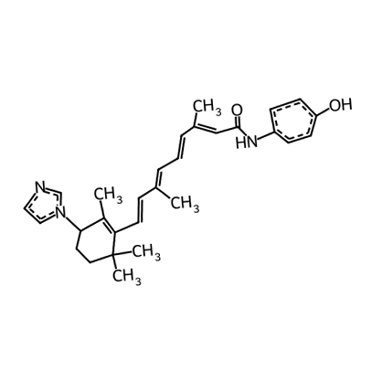 CC(C=C/C=C(C)/C=C/C1=C(C)C(n2ccnc2)CCC1(C)C)=CC(=O)Nc1ccc(O)cc1